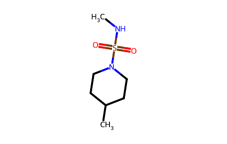 CNS(=O)(=O)N1CCC(C)CC1